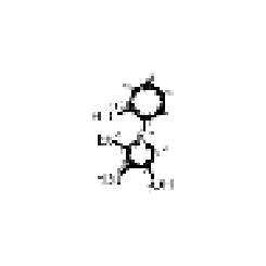 CCc1c(C(C)(C)C)c(O)nn1-c1ccccc1C